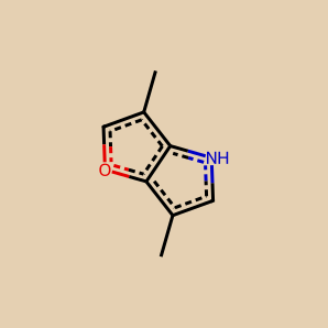 Cc1coc2c(C)c[nH]c12